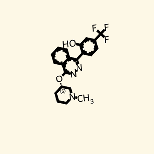 CN1CCC[C@H](Oc2nnc(-c3ccc(C(F)(F)F)cc3O)c3ccccc23)C1